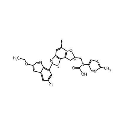 CCOc1cnc2c(-c3nc4cc(F)c5c(c4s3)C[C@H](CN(C(=O)O)c3cnc(C)nc3)O5)cc(Cl)cc2c1